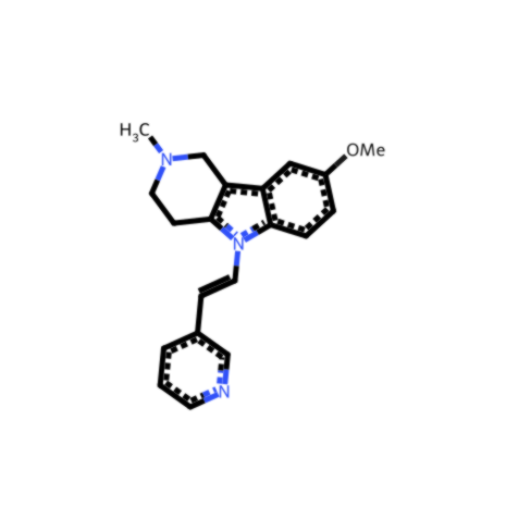 COc1ccc2c(c1)c1c(n2C=Cc2cccnc2)CCN(C)C1